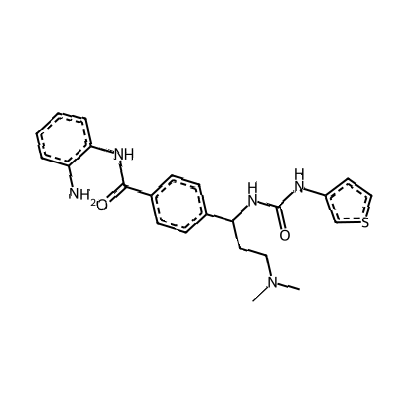 CN(C)CCC(NC(=O)Nc1ccsc1)c1ccc(C(=O)Nc2ccccc2N)cc1